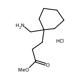 COC(=O)CCC1(CN)CCCCC1.Cl